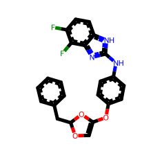 Fc1ccc2[nH]c(Nc3ccc(OC4=COC(Cc5ccccc5)O4)cc3)nc2c1F